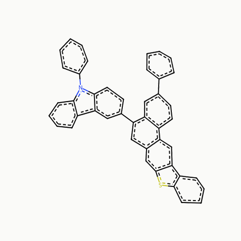 c1ccc(-c2ccc3c(c2)c(-c2ccc4c(c2)c2ccccc2n4-c2ccccc2)cc2cc4sc5ccccc5c4cc23)cc1